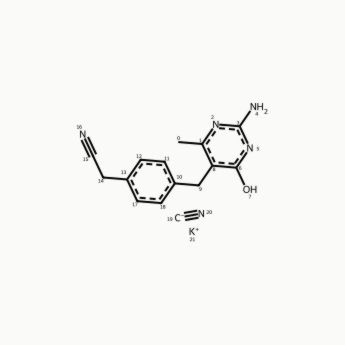 Cc1nc(N)nc(O)c1Cc1ccc(CC#N)cc1.[C-]#N.[K+]